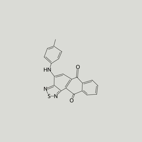 Cc1ccc(Nc2cc3c(c4nsnc24)C(=O)c2ccccc2C3=O)cc1